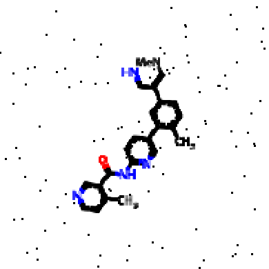 CN/C=C(\C=N)c1ccc(C)c(-c2ccc(NC(=O)c3cnccc3C)nc2)c1